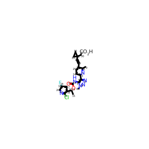 Cc1nc(-c2nnn(C)c2NC(=O)OC(C)c2cc(F)cnc2Cl)ccc1C#CC1(CC(=O)O)CC1